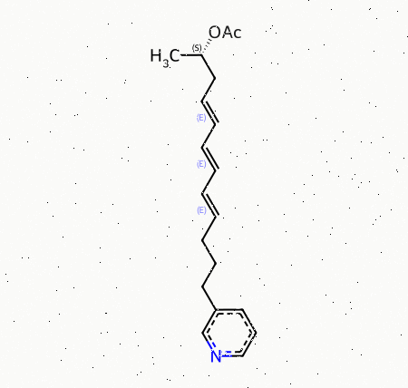 CC(=O)O[C@@H](C)C/C=C/C=C/C=C/CCCc1cccnc1